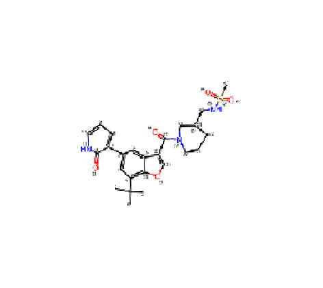 CC(C)(C)c1cc(-c2ccc[nH]c2=O)cc2c(C(=O)N3CCC[C@H](CNS(C)(=O)=O)C3)coc12